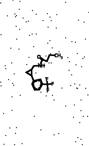 CCCC(=O)NCC1CC1c1cccc(C(F)(F)F)c1